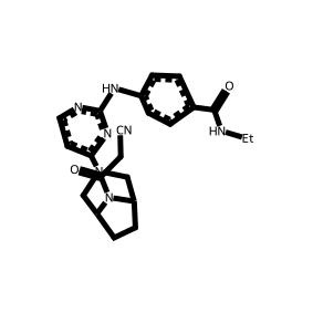 CCNC(=O)c1ccc(Nc2nccc(N3CC4CCC(C3)N4C(=O)CC#N)n2)cc1